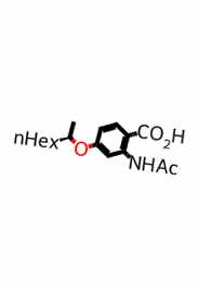 CCCCCC[C@@H](C)Oc1ccc(C(=O)O)c(NC(C)=O)c1